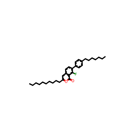 CCCCCCCCCCc1cc2ccc(-c3ccc(CCCCCCC)cc3)c(F)c2c(=O)o1